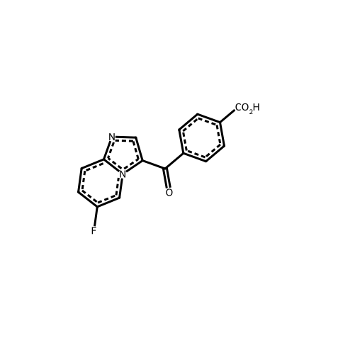 O=C(O)c1ccc(C(=O)c2cnc3ccc(F)cn23)cc1